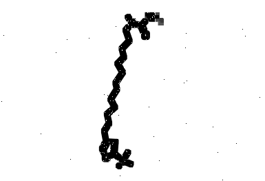 CN(CCCCCCCCCCCCCc1coc([Si](C)(C)C)c1)C(N)=O